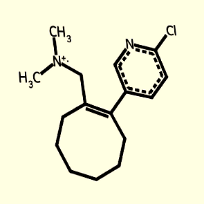 C[N+](C)C/C1=C(\c2ccc(Cl)nc2)CCCCCC1